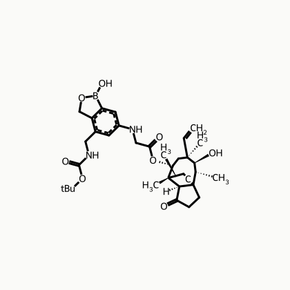 C=C[C@]1(C)C[C@@H](OC(=O)CNc2cc(CNC(=O)OC(C)(C)C)c3c(c2)B(O)OC3)[C@]2(C)[C@H](C)CC[C@]3(CCC(=O)[C@H]32)[C@@H](C)[C@@H]1O